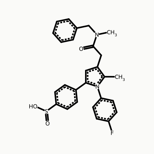 Cc1c(CC(=O)N(C)Cc2ccccc2)cc(-c2ccc(S(=O)O)cc2)n1-c1ccc(F)cc1